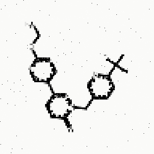 CC(F)(F)c1ccc(Cn2nc(-c3cnc(OCC(F)(F)F)nc3)ccc2=O)cn1